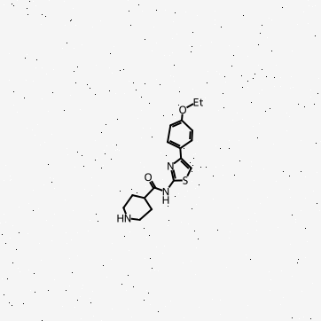 CCOc1ccc(-c2csc(NC(=O)C3CCNCC3)n2)cc1